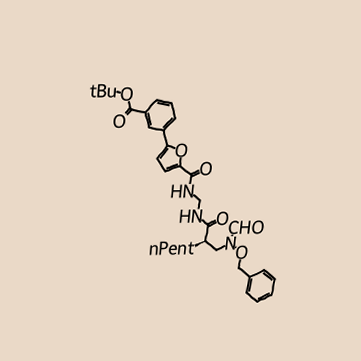 CCCCC[C@H](CN(C=O)OCc1ccccc1)C(=O)NCNC(=O)c1ccc(-c2cccc(C(=O)OC(C)(C)C)c2)o1